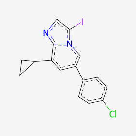 Clc1ccc(-c2cc(C3CC3)c3ncc(I)n3c2)cc1